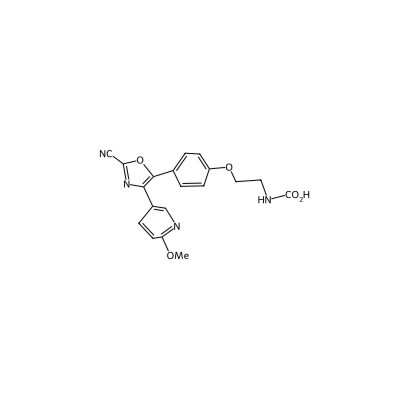 COc1ccc(-c2nc(C#N)oc2-c2ccc(OCCNC(=O)O)cc2)cn1